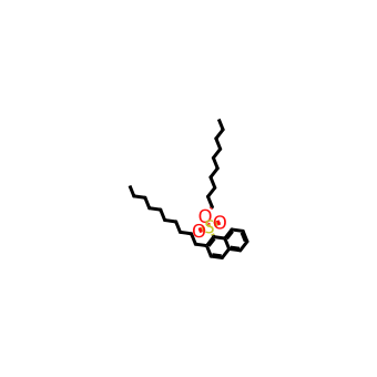 CCCCCCCCCCOS(=O)(=O)c1c(CCCCCCCCCC)ccc2ccccc12